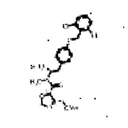 COC[C@@H]1OCO[C@H]1C(=O)N(C)C(Cc1ccc(OCc2c(Cl)cccc2Cl)cc1)C(=O)O